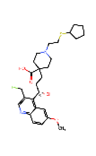 COc1ccc2ncc(CF)c([C@@H](O)CCC3(C(=O)O)CCN(CCSC4CCCC4)CC3)c2c1